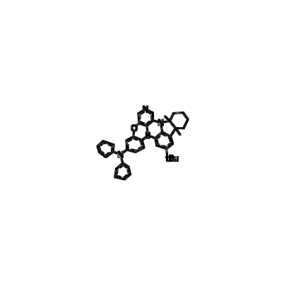 CC(C)(C)c1cc2c3c(c1)C1(C)CCCCC1(C)N3c1cncc3c1B2c1ccc(N(c2ccccc2)c2ccccc2)cc1O3